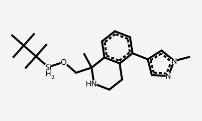 Cn1cc(-c2cccc3c2CCNC3(C)CO[SiH2]C(C)(C)C(C)(C)C)cn1